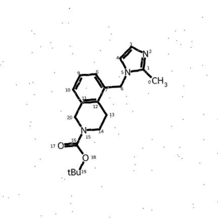 Cc1nccn1Cc1cccc2c1CCN(C(=O)OC(C)(C)C)C2